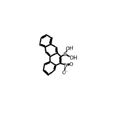 O=[N+]([O-])c1c(B(O)O)c2cc3ccccc3cc2c2ccccc12